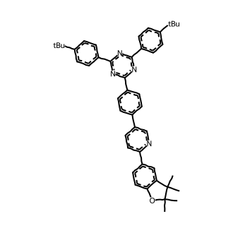 CC(C)(C)c1ccc(-c2nc(-c3ccc(-c4ccc(-c5ccc6c(c5)C(C)(C)C(C)(C)O6)nc4)cc3)nc(-c3ccc(C(C)(C)C)cc3)n2)cc1